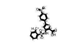 Cc1ccccc1S(=O)(=O)Nc1cc(-c2ccc([N+](=O)[O-])cc2)sc1C(=O)O